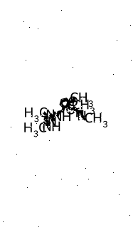 CCN1CC([C@@H](C)OC2=C(OC)C=CCC2CCNc2nc(C)cc(NC)n2)C1